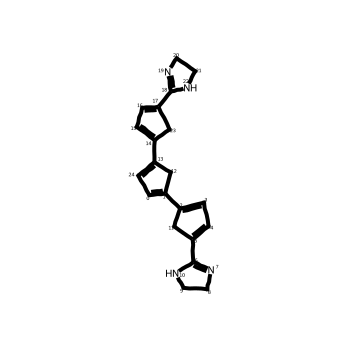 C1=C(C2=CC=C(C3=NCCN3)C2)CC(C2=CC=C(C3=NCCN3)C2)=C1